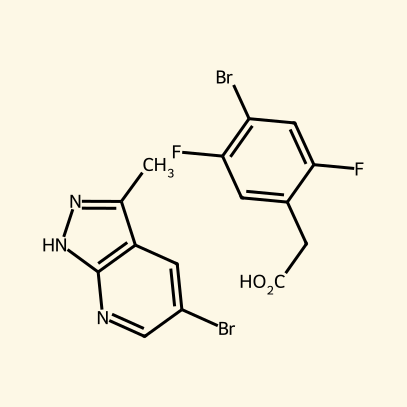 Cc1n[nH]c2ncc(Br)cc12.O=C(O)Cc1cc(F)c(Br)cc1F